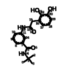 CC(C)(C)NC(=O)c1cccc(NC(=O)Cc2cccc(O)c2O)c1